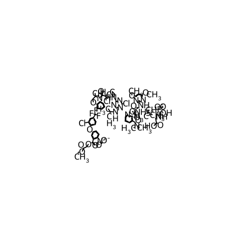 CC1COc2ccccc2N1C(=O)C(Cl)Cl.CCNc1nc(Cl)nc(NC(C)C)n1.CCOC(=O)COC(=O)c1cc(Oc2ccc(C(F)(F)F)cc2Cl)ccc1[N+](=O)[O-].COc1cc(OC)nc(NC(=O)NS(=O)(=O)c2ncccc2C(=O)N(C)C)n1.C[S+](C)C.O=C(O)CNCP(=O)([O-])O